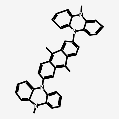 Cc1c2ccc(N3c4ccccc4N(C)c4ccccc43)cc2c(C)c2ccc(N3c4ccccc4N(C)c4ccccc43)cc12